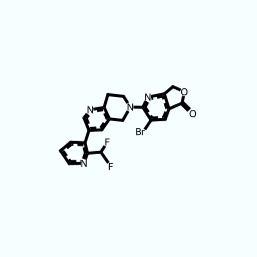 O=C1OCc2nc(N3CCc4ncc(-c5cccnc5C(F)F)cc4C3)c(Br)cc21